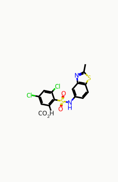 Cc1nc2cc(NS(=O)(=O)c3c(Cl)cc(Cl)cc3C(=O)O)ccc2s1